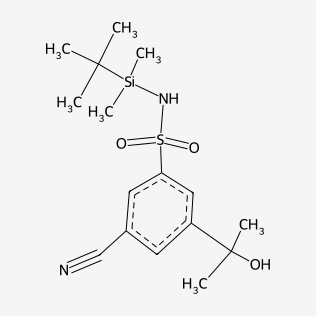 CC(C)(O)c1cc(C#N)cc(S(=O)(=O)N[Si](C)(C)C(C)(C)C)c1